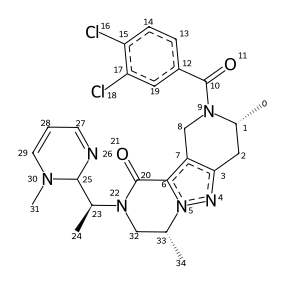 C[C@@H]1Cc2nn3c(c2CN1C(=O)c1ccc(Cl)c(Cl)c1)C(=O)N([C@@H](C)C1N=CC=CN1C)C[C@H]3C